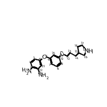 Nc1ccc(Oc2cccc(OCCCC3CCNC3)c2)cc1N